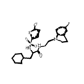 O=C(NCCN1CCc2cc(F)ccc21)C(CC1CCCCC1)NS(=O)(=O)c1ccc(Cl)s1